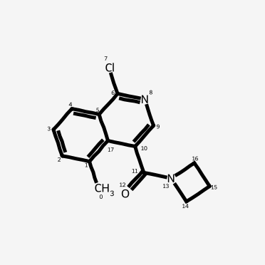 Cc1cccc2c(Cl)ncc(C(=O)N3CCC3)c12